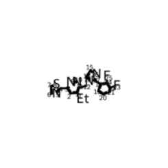 CCc1cc(-c2nccs2)nnc1Cn1ccnc1-c1cccc(F)c1F